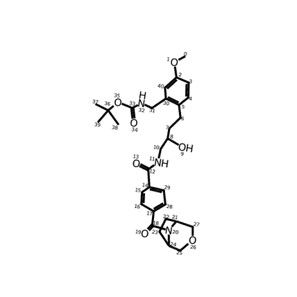 COc1ccc(CCC(O)CNC(=O)c2ccc(C(=O)N3C4CCC3COC4)cc2)c(CNC(=O)OC(C)(C)C)c1